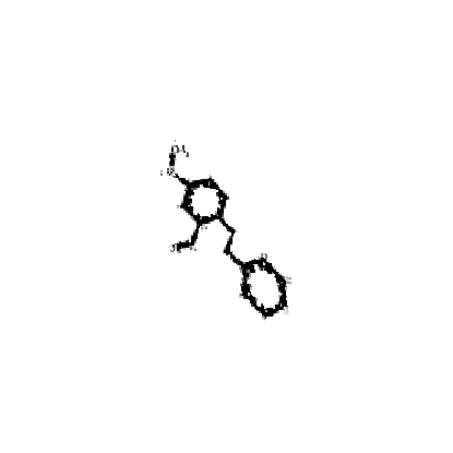 COc1ccc(CCc2ccccc2)c(C=O)c1